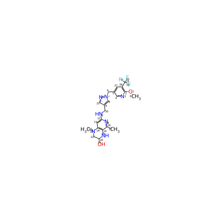 COc1ncc(Cn2cc(CNc3cc4c(c(C)n3)NC(O)CN4C)cn2)cc1C(F)(F)F